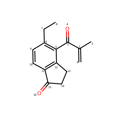 C=C(C)C(=O)c1c(CC)ccc2c1CCC2=O